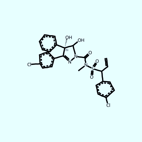 C=CC(c1ccc(Cl)cc1)S(=O)(=O)N(C)C(=O)N1N=C(c2ccc(Cl)cc2)[C@@](O)(c2ccccc2)C1O